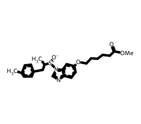 COC(=O)CCCCCOc1ccc2ncn([S+]([O-])C(C)Cc3ccc(C)cc3)c2c1